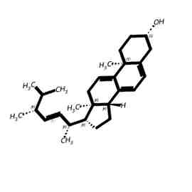 CC(C)[C@@H](C)/C=C/[C@@H](C)[C@H]1CC[C@H]2C3=CC=C4C[C@@H](O)CC[C@]4(C)C3=CC[C@]12C